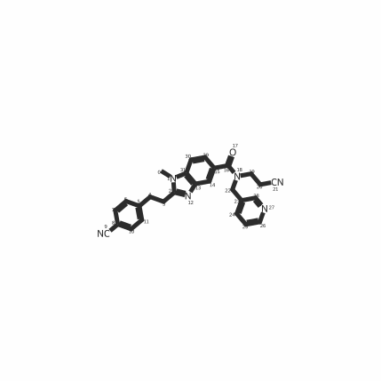 Cn1c(CCc2ccc(C#N)cc2)nc2cc(C(=O)N(CCC#N)Cc3cccnc3)ccc21